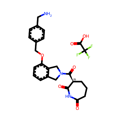 NCc1ccc(COc2cccc3c2CN(C(=O)[C@H]2CCCC(=O)NC2=O)C3)cc1.O=C(O)C(F)(F)F